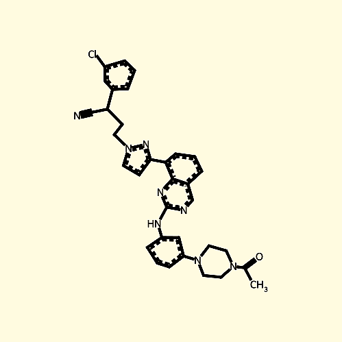 CC(=O)N1CCN(c2cccc(Nc3ncc4cccc(-c5ccn(CCC(C#N)c6cccc(Cl)c6)n5)c4n3)c2)CC1